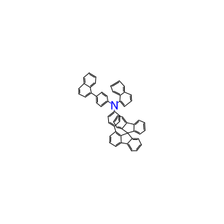 c1ccc2c(c1)-c1ccccc1C21c2ccccc2-c2cccc(-c3ccc(N(c4ccc(-c5cccc6ccccc56)cc4)c4cccc5ccccc45)cc3)c21